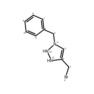 BrCC1=CN(Cc2ccccc2)NN1